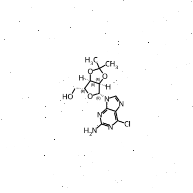 CC1(C)O[C@@H]2[C@H](O1)[C@@H](CO)O[C@H]2n1cnc2c(Cl)nc(N)nc21